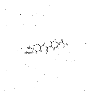 CCCCC[C@]1(C#N)CC[C@@H](OC(=O)c2ccc(OCCC)cc2)CC1